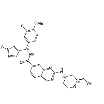 COc1ccc([C@H](NC(=O)c2ccc3cnc(N[C@H]4CCO[C@H](CO)C4)nc3c2)c2cnn(C)c2)cc1F